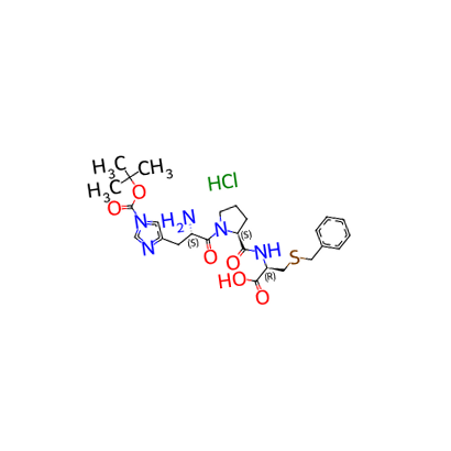 CC(C)(C)OC(=O)n1cnc(C[C@H](N)C(=O)N2CCC[C@H]2C(=O)N[C@@H](CSCc2ccccc2)C(=O)O)c1.Cl